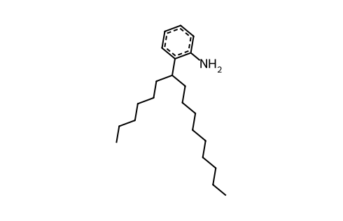 CCCCCCCCCC(CCCCCC)c1ccccc1N